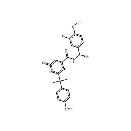 CC[C@@H](NC(=O)c1cc(=O)[nH]c(C(C)(C)c2ccc(OC)cc2)n1)c1ccc(OC(F)(F)F)c(F)c1